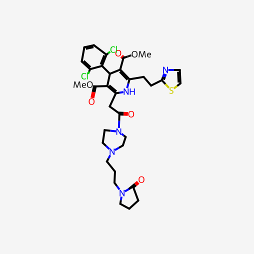 COC(=O)C1=C(CCc2nccs2)NC(CC(=O)N2CCN(CCCN3CCCC3=O)CC2)=C(C(=O)OC)C1c1c(Cl)cccc1Cl